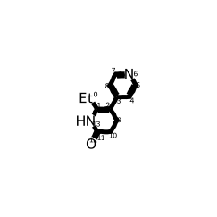 CCC1=C(c2ccncc2)CCC(=O)N1